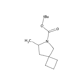 CC1CC2(CCC2)CN1C(=O)OC(C)(C)C